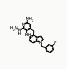 NNc1nc(N)cc(Cc2cccc3c2ccn3Cc2cccc(F)c2)c1N